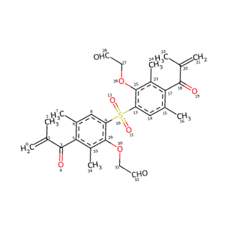 C=C(C)C(=O)c1c(C)cc(S(=O)(=O)c2cc(C)c(C(=O)C(=C)C)c(C)c2OCC=O)c(OCC=O)c1C